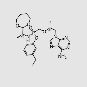 CCc1cccc(OP(=O)(CO[C@H](C)Cn2cnc3c(N)ncnc32)N[C@@H](C)C2OCCCCO2)c1